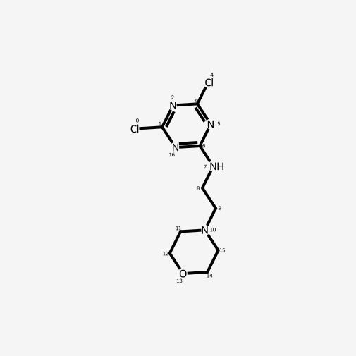 Clc1nc(Cl)nc(NCCN2CCOCC2)n1